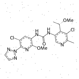 COc1nc(-n2nccn2)c(Cl)cc1NC(=O)Nc1cnc(C)c(Cl)c1[C@H](C)OC